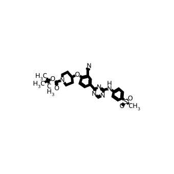 CC(C)(C)OC(=O)N1CCC(Oc2ccc(-c3ncnc(Nc4ccc(S(C)(=O)=O)cc4)n3)cc2C#N)CC1